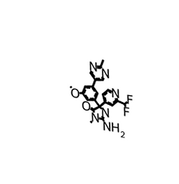 COc1cc(-c2cnc(C)nc2)cc(C2(c3ccnc(C(F)F)c3)N=C(N)N(C)C2=O)c1